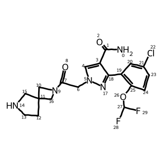 NC(=O)c1cn(CC(=O)N2CC3(CCNC3)C2)nc1-c1cc(Cl)ccc1OC(F)F